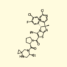 CC[C@H]1CNC2(CC2)CN1C(=O)[C@H]1CCCN1C(=O)C1=C(C(C)C)N2C(=N[C@@](C)(c3ccc(Cl)nc3)[C@H]2c2ccc(Cl)c(F)c2)S1